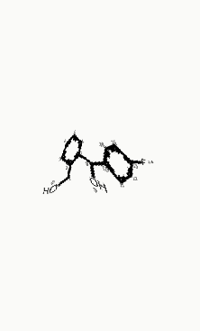 OCc1ccccc1C(O)c1ccc(F)cc1